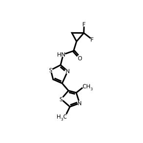 Cc1nc(C)c(-c2csc(NC(=O)C3CC3(F)F)n2)s1